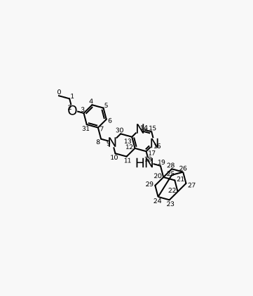 CCOc1cccc(CN2CCc3c(ncnc3NCC34CC5CC(CC(C5)C3)C4)C2)c1